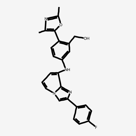 Cc1nc(C)c(-c2ccc(Nc3cccn4cc(-c5ccc(F)cc5)nc34)cc2CO)o1